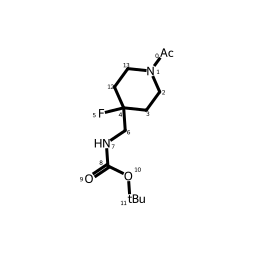 CC(=O)N1CCC(F)(CNC(=O)OC(C)(C)C)CC1